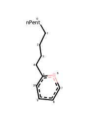 CCCCCCCCCc1bcccc1